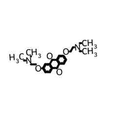 CCN(CC)CCOc1ccc2c(c1)C(=O)c1cc(OCCN(CC)CC)ccc1C2=O